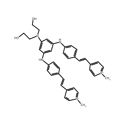 C[n+]1ccc(/C=C/c2ccc(Nc3cc(Nc4ccc(/C=C/c5cc[n+](C)cc5)cc4)cc(N(CCO)CCO)c3)cc2)cc1